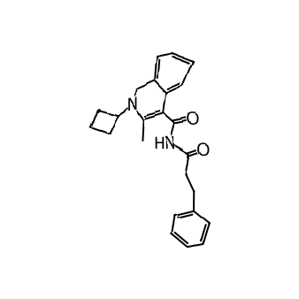 CC1=C(C(=O)NC(=O)CCc2ccccc2)c2ccccc2CN1C1CCC1